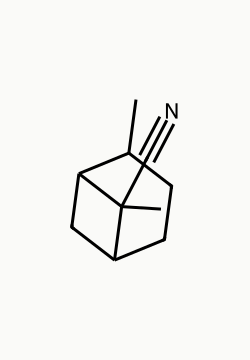 CC1CCC2CC1C2(C)C#N